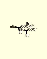 CCCCC(CC)C(=O)[O-].CCCCC(CC)C(=O)[O-].[Br-].[Ga+3]